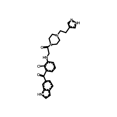 O=C(c1ccc2cc[nH]c2c1)c1cccc(NCC(=O)N2CCN(CCc3cn[nH]c3)CC2)c1Cl